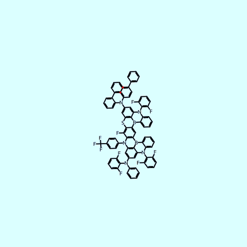 Fc1cccc(F)c1N(c1ccccc1)c1cc2c3c(c1)N(c1c(F)cccc1F)c1ccccc1B3c1cc3c(c(F)c1N2c1ccc(C(F)(F)F)cc1)Sc1cc(N(c2ccc(-c4ccccc4)cc2)c2ccccc2-c2ccccc2)cc2c1B3c1ccccc1N2c1c(F)cccc1F